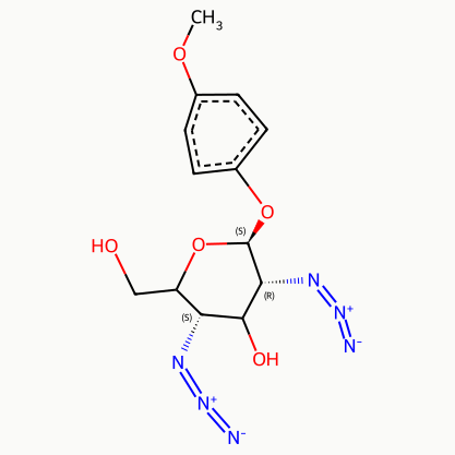 COc1ccc(O[C@@H]2OC(CO)[C@@H](N=[N+]=[N-])C(O)[C@H]2N=[N+]=[N-])cc1